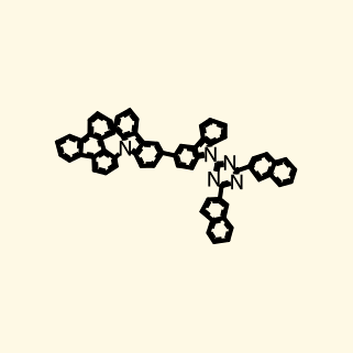 c1ccc2cc(-c3nc(-c4ccc5ccccc5c4)nc(-n4c5ccccc5c5cc(-c6ccc7c(c6)c6ccccc6n7-c6cccc7c8ccccc8c8ccccc8c67)ccc54)n3)ccc2c1